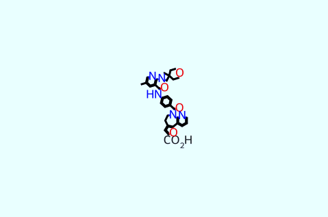 Cc1cnc(N2CC3(CCOCC3)C2)c(C(=O)Nc2ccc(C(=O)N3CCc4cc(C(=O)O)oc4-c4cccnc43)cc2)c1